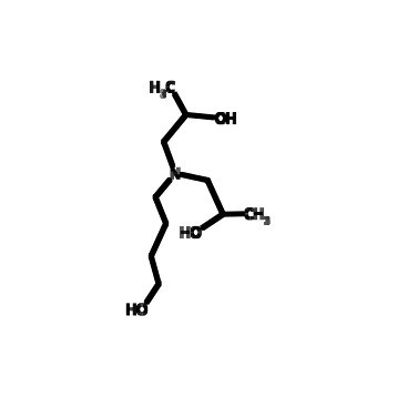 CC(O)CN(CCCCO)CC(C)O